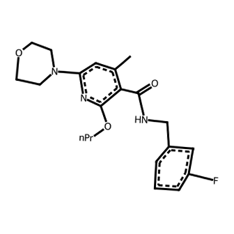 CCCOc1nc(N2CCOCC2)cc(C)c1C(=O)NCc1cccc(F)c1